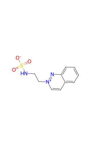 O=S(=O)([O-])NCC[n+]1ccc2ccccc2n1